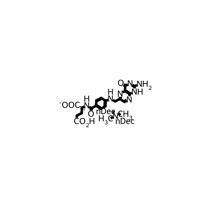 CCCCCCCCCC[N+](C)(C)CCCCCCCCCC.Nc1nc(=O)c2nc(CNc3ccc(C(=O)N[C@H](CCC(=O)O)C(=O)[O-])cc3)cnc2[nH]1